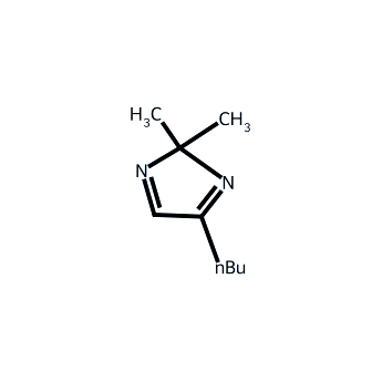 CCCCC1=NC(C)(C)N=C1